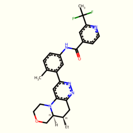 CC[C@@H]1Cc2nnc(-c3cc(NC(=O)c4ccnc(C(C)(F)F)c4)ccc3C)cc2N2CCOC[C@H]12